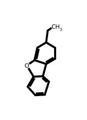 CCC1C=c2oc3ccccc3c2=CC1